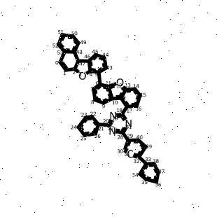 C1=CC2Oc3c(-c4cccc5c4oc4cccc(-c6nc(-c7ccccc7)nc(-c7ccc(-c8ccccc8)cc7)n6)c45)cccc3C2c2ccccc21